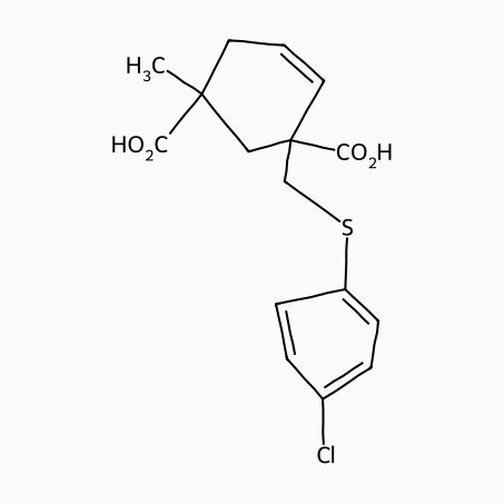 CC1(C(=O)O)CC=CC(CSc2ccc(Cl)cc2)(C(=O)O)C1